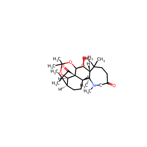 CO[C@]12OC(C)(C)O[C@@H]3[C@H]4CC[C@@H]([C@@]5(C)[C@H]([C@@H]1O)C(C)(C)CCC(=O)CN5C)[C@]32C(=O)C4(C)C